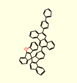 c1ccc(-c2ccc(-c3cc4c5ccccc5c(-c5ccc6c(c5)C5(c7ccccc7-c7oc8ccccc8c75)c5ccc7ccccc7c5-6)cc4c4ccccc34)cc2)cc1